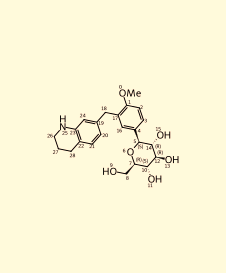 COc1ccc([C@@H]2O[C@H](CO)[C@@H](O)[C@H](O)[C@H]2O)cc1Cc1ccc2c(c1)NCCC2